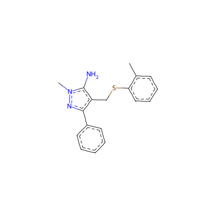 Cc1ccccc1SCc1c(-c2ccccc2)nn(C)c1N